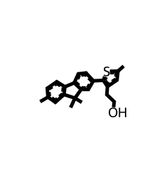 Cc1ccc2c(c1)C(C)(C)c1cc(-c3sc(C)cc3CCO)ccc1-2